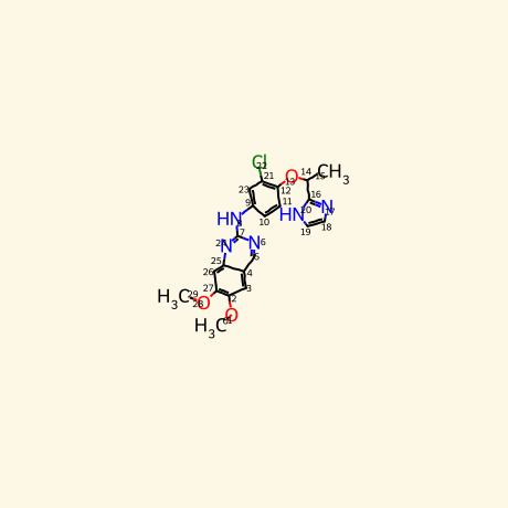 COc1cc2cnc(Nc3ccc(OC(C)c4ncc[nH]4)c(Cl)c3)nc2cc1OC